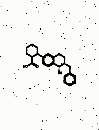 O=C(O)C1CCCCC1c1ccc2c(c1)OC[C@@H](Cc1ccccc1)[C@@H]2O